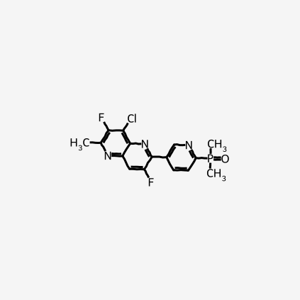 Cc1nc2cc(F)c(-c3ccc(P(C)(C)=O)nc3)nc2c(Cl)c1F